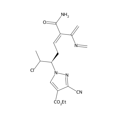 C=NC(=C)/C(=C\C[C@H](C(C)Cl)n1cc(C(=O)OCC)c(C#N)n1)C(N)=O